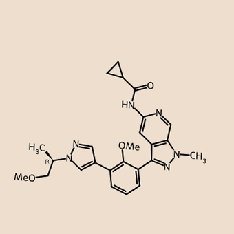 COC[C@@H](C)n1cc(-c2cccc(-c3nn(C)c4cnc(NC(=O)C5CC5)cc34)c2OC)cn1